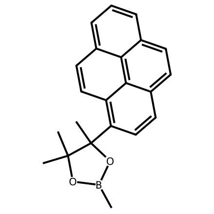 CB1OC(C)(C)C(C)(c2ccc3ccc4cccc5ccc2c3c45)O1